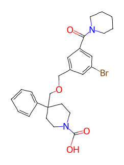 O=C(O)N1CCC(COCc2cc(Br)cc(C(=O)N3CCCCC3)c2)(c2ccccc2)CC1